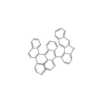 c1ccc(-c2ccc3ccccc3c2-c2c3ccccc3c(-c3cccc4oc5cc6ccccc6cc5c34)c3ccccc23)cc1